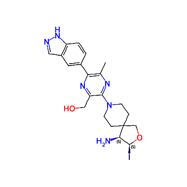 Cc1nc(N2CCC3(CC2)CO[C@@H](I)[C@H]3N)c(CO)nc1-c1ccc2[nH]ncc2c1